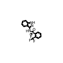 O=S(=O)(Nc1n[nH]c2ccccc12)c1ccccc1C(F)(F)F